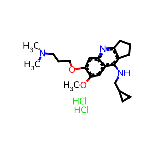 COc1cc2c(NCC3CC3)c3c(nc2cc1OCCCN(C)C)CCC3.Cl.Cl